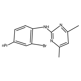 CCCc1ccc(Nc2nc(C)cc(C)n2)c(Br)c1